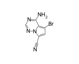 N#Cc1cc(Br)c2c(N)ncnn12